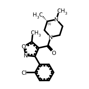 Cc1onc(-c2ccccc2Cl)c1C(=O)N1CCN(C)[C@@H](C)C1